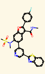 CNC(=O)c1c(-c2ccc(F)cc2)oc2cc(N(C)S(C)(=O)=O)c(-c3cncc(-c4nc5ccccc5s4)c3)cc12